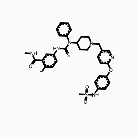 CNC(=O)c1cc(NC(=S)N(c2ccccc2)C2CCN(Cc3ccc(Oc4ccc(NS(C)(=O)=O)cc4)nc3)CC2)ccc1F